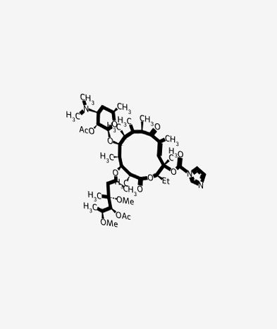 CC[C@H]1OC(=O)[C@H](C)[C@@H](O[C@H](C)C[C@@](C)(OC)[C@@H](OC(C)=O)[C@H](C)OC)[C@H](C)[C@@H](O[C@@H]2O[C@H](C)C[C@H](N(C)C)[C@H]2OC(C)=O)[C@@H](C)C(C)[C@@H](C)C(=O)/C(C)=C/[C@]1(C)OC(=O)n1ccnc1